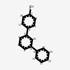 Fc1ccc(-c2cccc(-c3ccccc3)c2)cc1